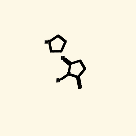 C1CCNC1.O=C1CCC(=O)N1Br